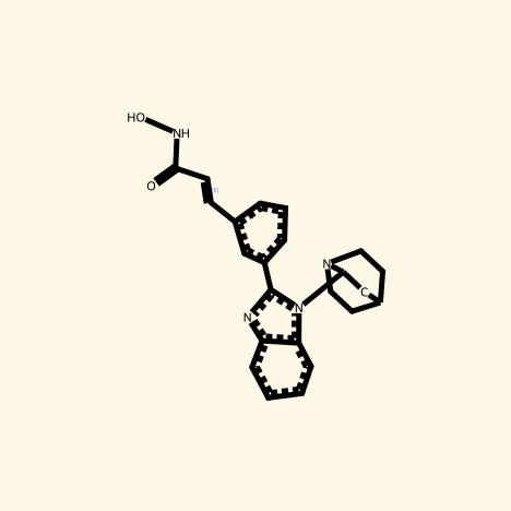 O=C(/C=C/c1cccc(-c2nc3ccccc3n2C2CC3CCN2CC3)c1)NO